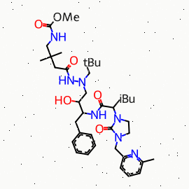 CCC(C)C(C(=O)NC(Cc1ccccc1)C(O)CN(CC(C)(C)C)NC(=O)CC(C)(C)CNC(=O)OC)N1CCN(Cc2cccc(C)n2)C1=O